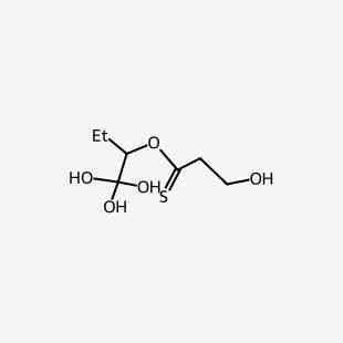 CCC(OC(=S)CCO)C(O)(O)O